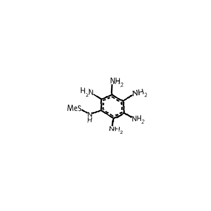 CSNc1c(N)c(N)c(N)c(N)c1N